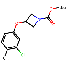 CC(C)(C)OC(=O)N1CC(Oc2ccc(C(F)(F)F)c(Cl)c2)C1